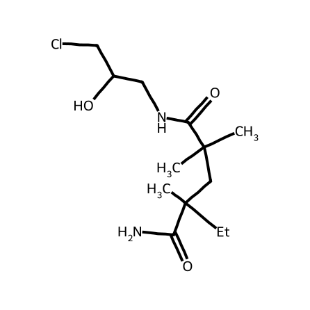 CCC(C)(CC(C)(C)C(=O)NCC(O)CCl)C(N)=O